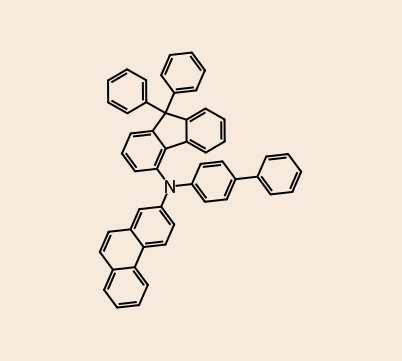 c1ccc(-c2ccc(N(c3ccc4c(ccc5ccccc54)c3)c3cccc4c3-c3ccccc3C4(c3ccccc3)c3ccccc3)cc2)cc1